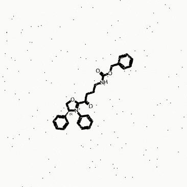 O=C(NCCCC(=O)C1=[N+](c2ccccc2)[C@@H](c2ccccc2)CO1)OCc1ccccc1